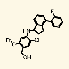 CCOc1cc(NC2CCc3c(-c4ccccc4F)cccc32)c(Cl)cc1CO